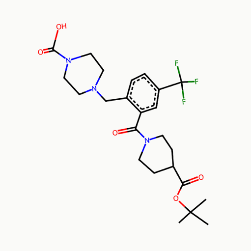 CC(C)(C)OC(=O)C1CCN(C(=O)c2cc(C(F)(F)F)ccc2CN2CCN(C(=O)O)CC2)CC1